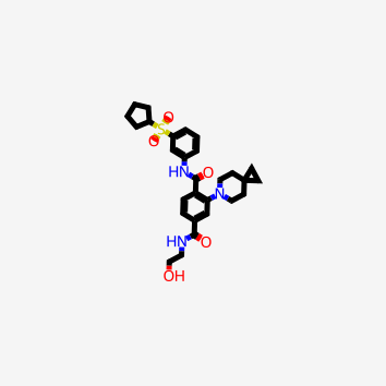 O=C(NCCO)c1ccc(C(=O)Nc2cccc(S(=O)(=O)C3CCCC3)c2)c(N2CCC3(CC2)CC3)c1